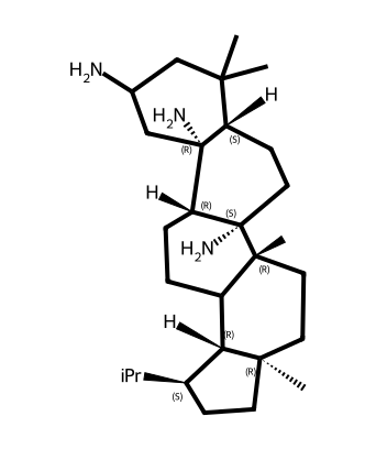 CC(C)[C@@H]1CC[C@]2(C)CC[C@]3(C)C(CC[C@@H]4[C@@]5(N)CC(N)CC(C)(C)[C@@H]5CC[C@]43N)[C@@H]12